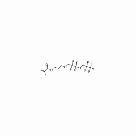 C=C(C)C(=O)OCCCOCC(F)(F)C(F)(F)OCC(F)(F)C(F)(F)F